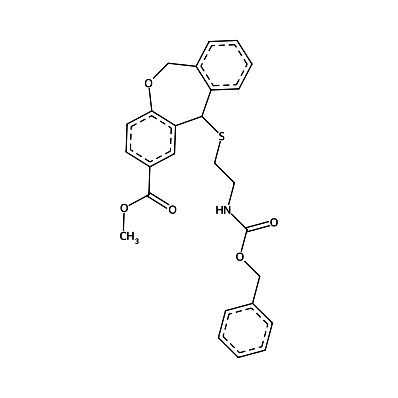 COC(=O)c1ccc2c(c1)C(SCCNC(=O)OCc1ccccc1)c1ccccc1CO2